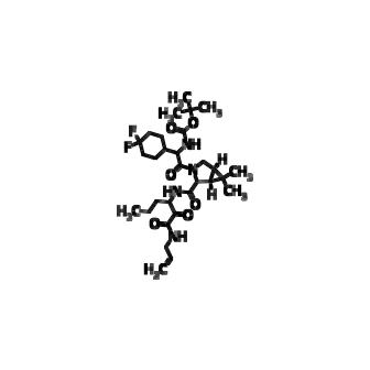 C=CCNC(=O)C(=O)C(CCC)NC(=O)C1[C@@H]2[C@H](CN1C(=O)C(NC(=O)OC(C)(C)C)C1CCC(F)(F)CC1)C2(C)C